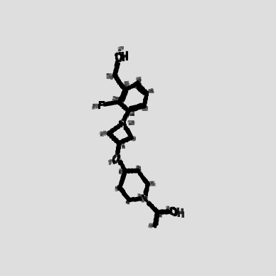 CC(O)N1CCC(OC2CN(c3cccc(CO)c3F)C2)CC1